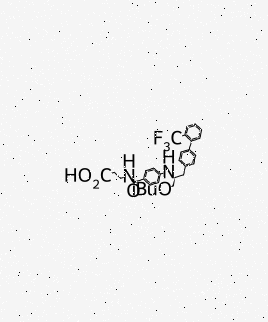 CC(C)COC[C@H](Cc1ccc(-c2ccccc2C(F)(F)F)cc1)Nc1ccc(C(=O)NCCC(=O)O)cc1